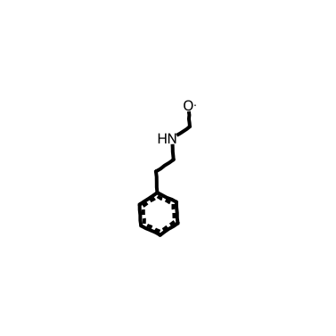 [O]CNCCc1ccccc1